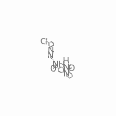 O=C1Nc2cc(C(=O)NCCCN3CCN(c4cccc(Cl)c4)CC3)ccc2N2CCCC=C12